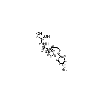 CCOc1ccc(N2CC3CN(C(=O)NCC(O)CO)C4(C)CC2C4(C)C3)cc1